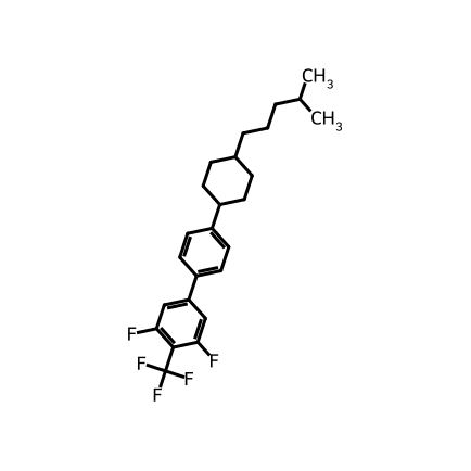 CC(C)CCCC1CCC(c2ccc(-c3cc(F)c(C(F)(F)F)c(F)c3)cc2)CC1